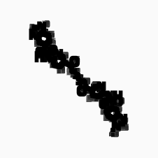 Cn1cnc2cc(S(=O)(=O)Nc3ccc(C(=O)CSSCC(=O)c4ccc(NS(=O)(=O)c5ccc6c(c5)ncn6C)nc4)cn3)ccc21